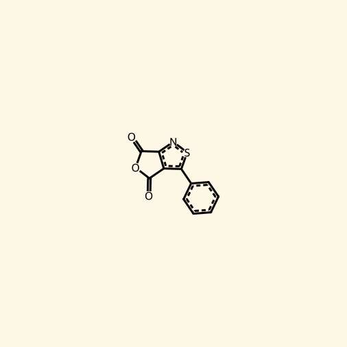 O=C1OC(=O)c2c1nsc2-c1ccccc1